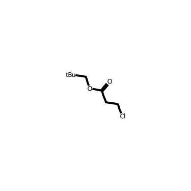 [CH2]C(C)(C)COC(=O)CCCl